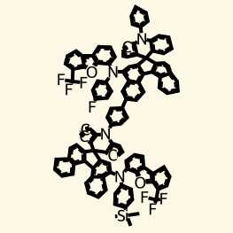 C[Si](C)(C)c1ccc(N(c2cc3c(c4ccccc24)-c2c(ccc4ccccc24)C32c3ccccc3N(c3ccc(-c4ccc5c6c(cc(N(c7ccc(F)cc7)c7cccc8c7oc7c(C(F)(F)F)cccc78)c5c4)C4(c5ccccc5N(c5ccccc5)c5ccccc54)c4ccc5ccccc5c4-6)cc3)c3ccccc32)c2cccc3c2oc2c(C(F)(F)F)cccc23)cc1